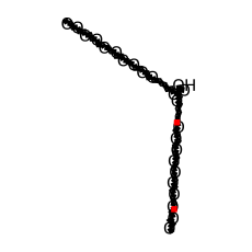 COCCOCCOCCOCCOCCOCCOCCOCCOCCOCCCCCCOCC(OCCCCCCOCCOCCOCCOCCOCCOCCOCCOCCOCCOC)C(=O)O